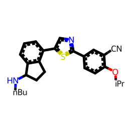 CCCCNC1CCc2c(-c3cnc(-c4ccc(OC(C)C)c(C#N)c4)s3)cccc21